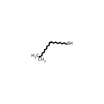 C=C(C)CCCCCCC/C=C\CCCCCCCS